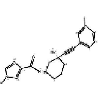 Cc1cccc(C#C[C@@]2(O)CCC[C@@H](NC(=O)c3cn(C)cn3)C2)c1